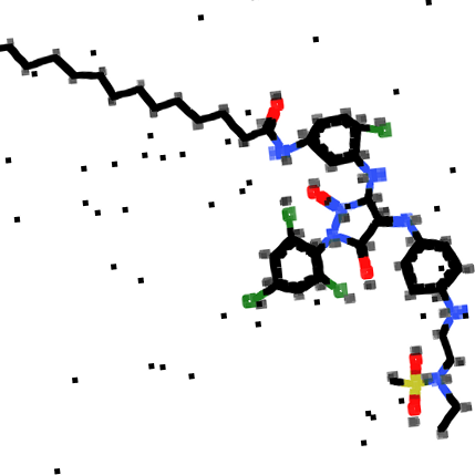 CCCCCCCCCCCCCC(=O)Nc1ccc(Cl)c(NC2C(=Nc3ccc(NCCN(CC)S(C)(=O)=O)cc3)C(=O)N(c3c(Cl)cc(Cl)cc3Cl)[N+]2=O)c1